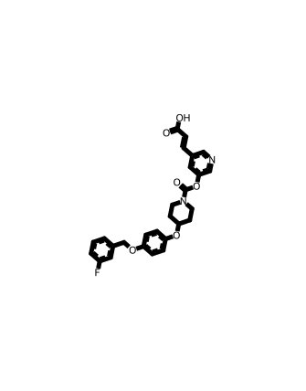 O=C(O)/C=C/c1cncc(OC(=O)N2CCC(Oc3ccc(OCc4cccc(F)c4)cc3)CC2)c1